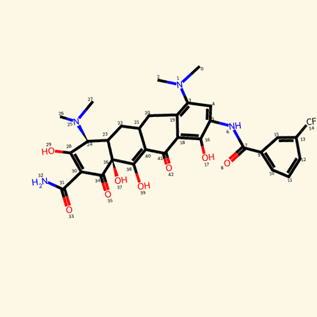 CN(C)c1cc(NC(=O)c2cccc(C(F)(F)F)c2)c(O)c2c1CC1CC3[C@H](N(C)C)C(O)=C(C(N)=O)C(=O)[C@@]3(O)C(O)=C1C2=O